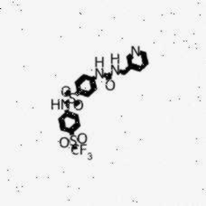 O=C(NCc1cccnc1)Nc1ccc(S(=O)(=O)Nc2ccc(S(=O)(=O)C(F)(F)F)cc2)cc1